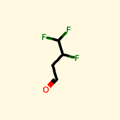 O=CCC(F)C(F)F